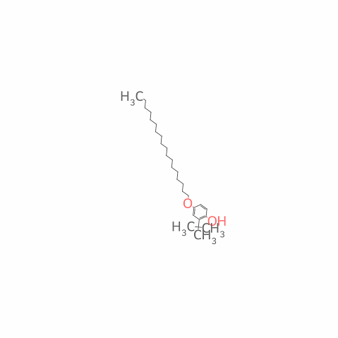 CCCCCCCCCCCCCCCCCCOc1ccc(O)c(C(C)(C)C)c1